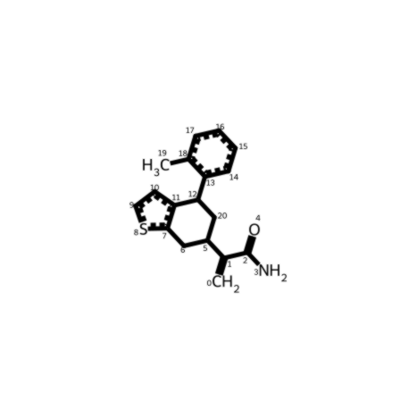 C=C(C(N)=O)C1Cc2sccc2C(c2ccccc2C)C1